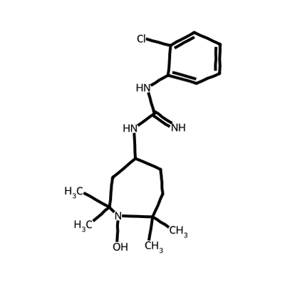 CC1(C)CCC(NC(=N)Nc2ccccc2Cl)CC(C)(C)N1O